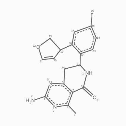 Cc1nc(N)nc2c1C(=O)NC(c1ccc(F)cc1C1C=COC1)C2